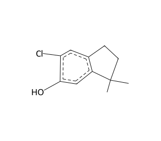 CC1(C)CCc2cc(Cl)c(O)cc21